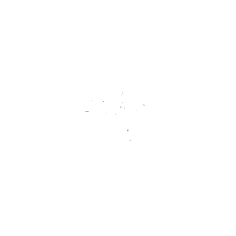 CNc1cc(F)cn(-c2ccn(C)n2)c1=O